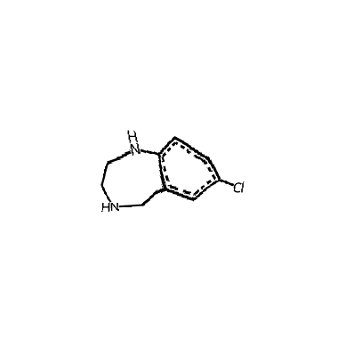 Clc1ccc2c(c1)CNCCN2